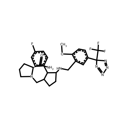 COc1ccc(C2(C(F)(F)F)N=NN=N2)cc1CNC1CCC(CN2CCC[C@H]2C(N)=O)C1c1ccc(F)cc1